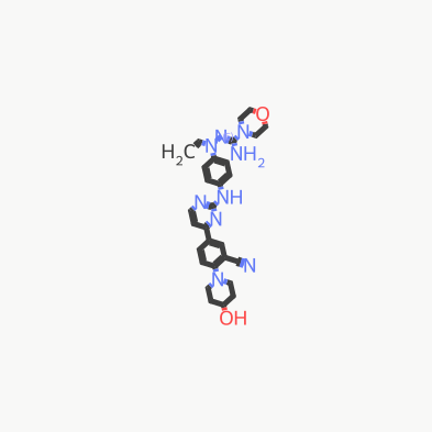 C=CN(/N=C(\N)N1CCOCC1)c1ccc(Nc2nccc(-c3ccc(N4CCC(O)CC4)c(C#N)c3)n2)cc1